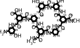 CNC(=O)c1cc(C(=O)Nc2cccc(NC(=O)c3cc(C(=O)O)cc(C(=O)Nc4cc(N)cc(O)c4)c3)c2)cc(C(=O)Nc2cccc(NC(=O)c3cc(C(=O)NC)cc(C(=O)Nc4cc(O)cc(NC(=O)c5cc(O)cc(C=O)c5)c4)c3)c2)c1